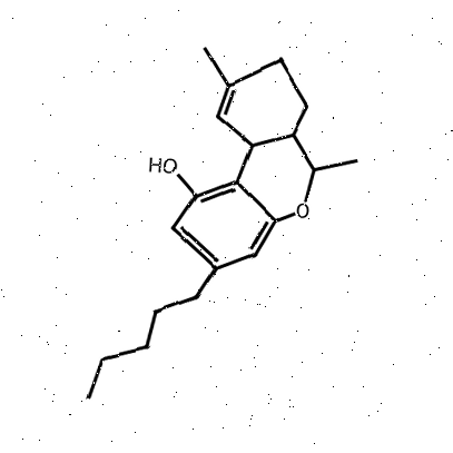 CCCCCc1cc(O)c2c(c1)OC(C)C1CCC(C)=CC21